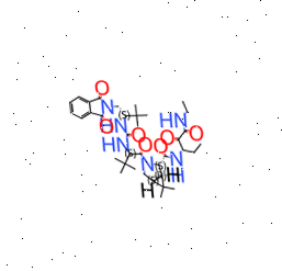 CCNC(=O)C(=O)C(CC)NC(=O)[C@@H]1[C@@H]2[C@H](CN1C(=O)[C@@H](NC(=O)N[C@H](CN1C(=O)c3ccccc3C1=O)C(C)(C)C)C(C)(C)C)C2(C)C